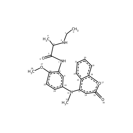 CCNC(C)C(=O)Nc1cc(N(C)c2cc(=O)oc3ccccc23)ccc1OC